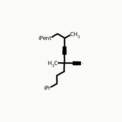 [C]#CC(C)(C#CC(C)CC(C)CCC)CCCC(C)C